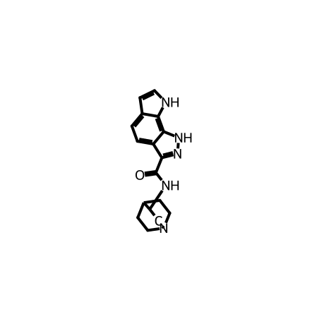 O=C(NC1CN2CCC1CC2)c1n[nH]c2c1ccc1cc[nH]c12